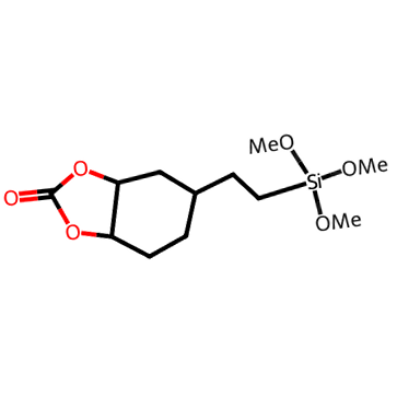 CO[Si](CCC1CCC2OC(=O)OC2C1)(OC)OC